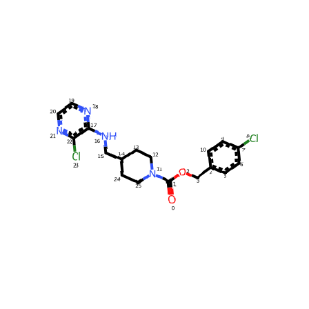 O=C(OCc1ccc(Cl)cc1)N1CCC(CNc2nccnc2Cl)CC1